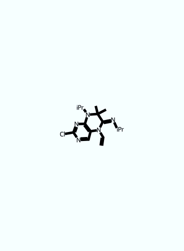 C=CN1/C(=N\C(C)C)C(C)(C)N(C(C)C)c2nc(Cl)ncc21